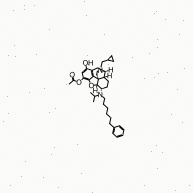 CC(=O)Oc1cc(O)c2c3c1O[C@H]1[C@@H](N(CCCCCCc4ccccc4)C(C)C)CC[C@H]4[C@@H](C2)N(CC2CC2)CC[C@@]341